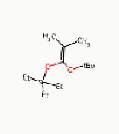 CC[Si](CC)(CC)OC(OC(C)(C)C)=C(C)C